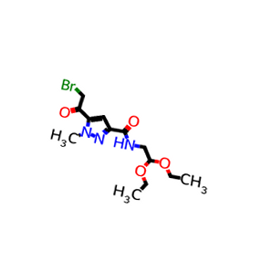 CCOC(CNC(=O)c1cc(C(=O)CBr)n(C)n1)OCC